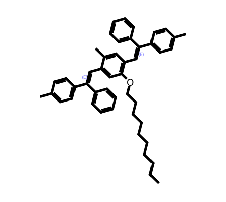 CCCCCCCCCCOc1cc(/C=C(\c2ccccc2)c2ccc(C)cc2)c(C)cc1/C=C(\c1ccccc1)c1ccc(C)cc1